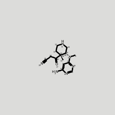 CN(c1cc(N)ncn1)[C@H]1CNCC[C@@]1(C)C(=O)CC#N